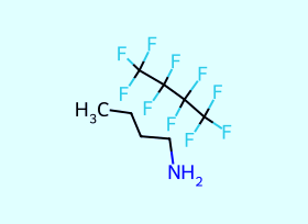 CCCCN.FC(F)(F)C(F)(F)C(F)(F)C(F)(F)F